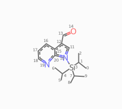 CC(C)[Si](C(C)C)(C(C)C)n1cc(C=O)c2cccnc21